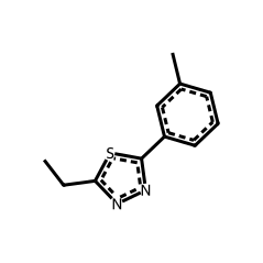 CCc1nnc(-c2cccc(C)c2)s1